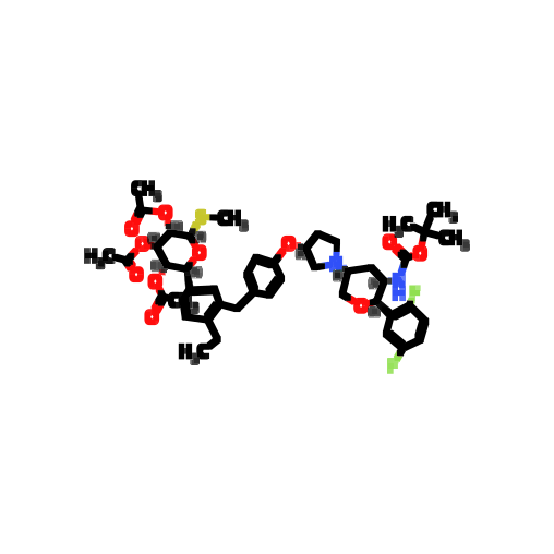 CCc1ccc([C@@H]2O[C@H](SC)[C@@H](OC(C)=O)[C@H](OC(C)=O)[C@H]2OC(C)=O)cc1Cc1ccc(O[C@@H]2CCN([C@H]3CO[C@H](c4cc(F)ccc4F)[C@@H](NC(=O)OC(C)(C)C)C3)C2)cc1